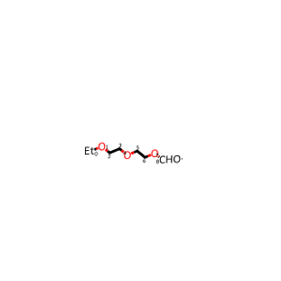 CCOCCOCCO[C]=O